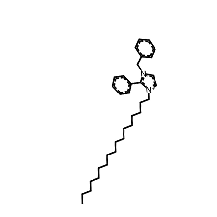 CCCCCCCCCCCCCCCCC[n+]1ccn(Cc2ccccc2)c1-c1ccccc1